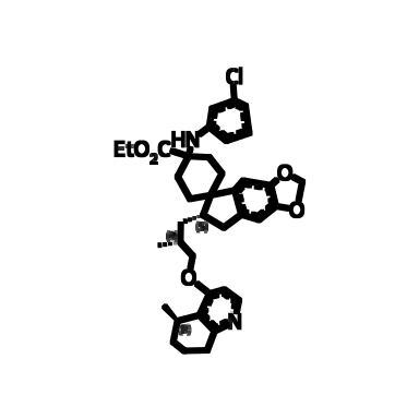 CCOC(=O)C1(Nc2cccc(Cl)c2)CCC2(CC1)c1cc3c(cc1C[C@@H]2C[C@@H](C)COc1ccnc2c1[C@H](C)CCC2)OCO3